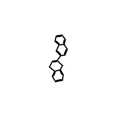 [C]1C(c2ccc3ccccc3c2)=CCc2ccccc21